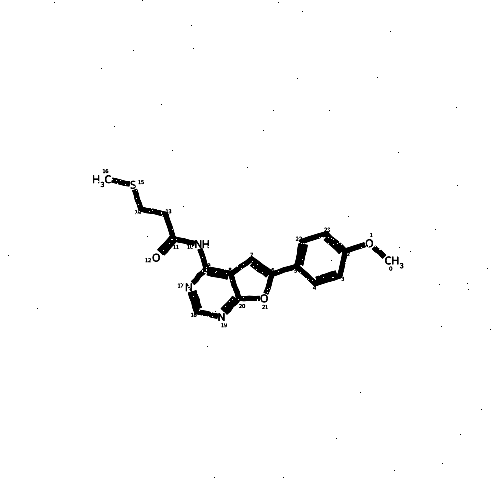 COc1ccc(-c2cc3c(NC(=O)CCSC)ncnc3o2)cc1